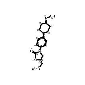 COC[C@@H]1CN(c2ccc(C3CCC(=NO)CC3)cc2)C(=O)O1